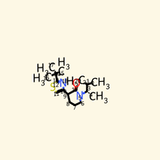 CC(C)[C@H](C)N1CCCC(c2csc(C(C)(C)C)n2)C1=O